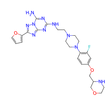 Nc1nc(NCCN2CCN(c3ccc(OCC4COCCN4)cc3F)CC2)nc2nc(-c3ccco3)nn12